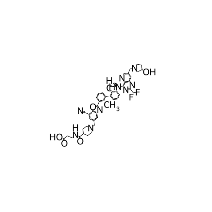 Cc1c(Nc2nc(C(F)F)nc3cc(CN4CC[C@@H](O)C4)cnc23)cccc1-c1cccc(-c2nc3cc(CN4CCC(C(=O)NCCC(=O)O)CC4)cc(C#N)c3o2)c1C